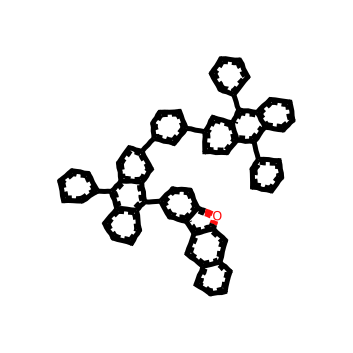 c1ccc(-c2c3ccccc3c(-c3ccccc3)c3cc(-c4cccc(-c5ccc6c(-c7ccccc7)c7ccccc7c(-c7ccc8oc9cc%10ccccc%10cc9c8c7)c6c5)c4)ccc23)cc1